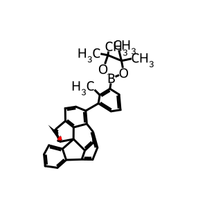 Cc1c(B2OC(C)(C)C(C)(C)O2)cccc1-c1ccc2c3c1-c1ccc4c(c1)C3(c1ccccc1-4)c1ccccc1-2